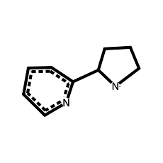 c1ccc(C2CCC[N]2)nc1